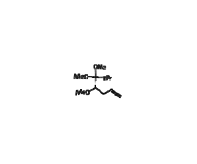 C=CCC(OC)C(CCC)(OC)OC